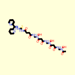 CC(=O)N(O)CNC(=O)CC(=O)N(O)CNC(=O)CC(=O)N(O)CNC(=O)CCC(=O)NC(=S)NN=C(c1ccccn1)c1ccccn1